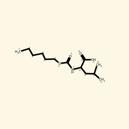 CCCCCCOC(=O)NC(CC(C)C)C(=O)O